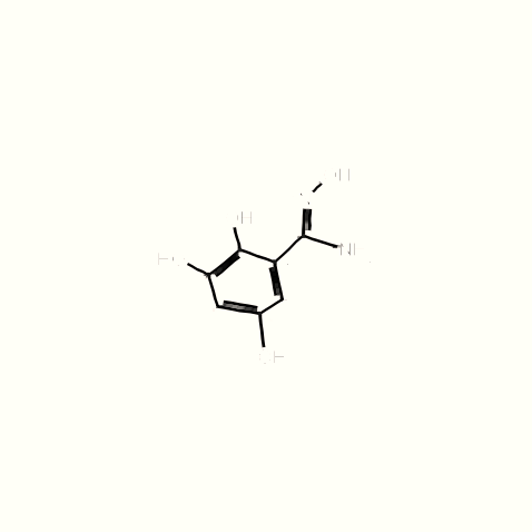 NC(=NO)c1cc(O)cc(O)c1O